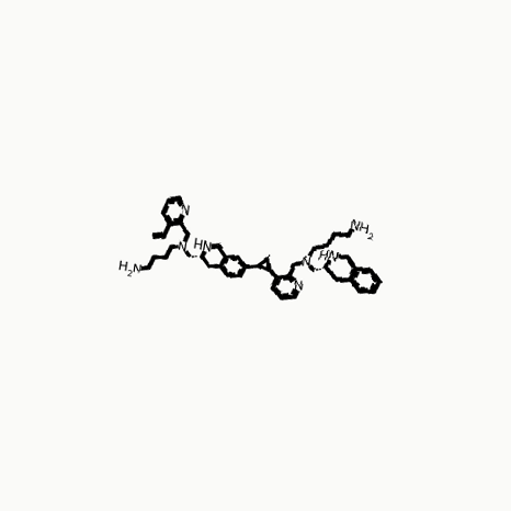 C=Cc1cccnc1CN(CCCCN)C[C@H]1Cc2ccc(C3CC3c3cccnc3CN(CCCCN)C[C@H]3Cc4ccccc4CN3)cc2CN1